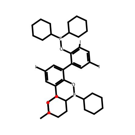 CCCCc1cc(I)cc(-c2cc(I)cc(I)c2OP(C2CCCCC2)C2CCCCC2)c1OP(C1CCCCC1)C1CCCCC1